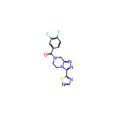 O=C(c1ccc(F)c(F)c1)N1CCn2c(nnc2-c2ncns2)C1